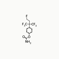 NC(=O)Oc1ccc(C(CCF)(C(F)(F)F)C(F)(F)F)cc1